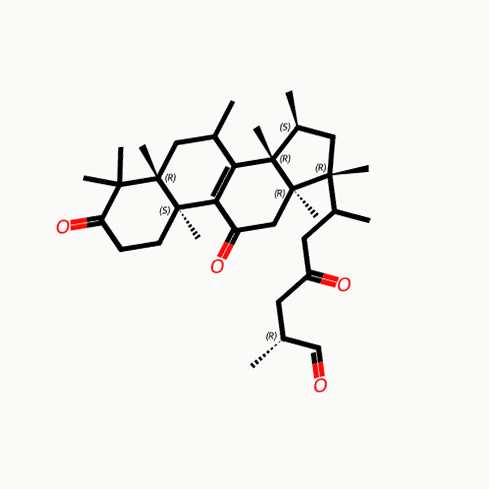 CC1C[C@@]2(C)C(C)(C)C(=O)CC[C@]2(C)C2=C1[C@]1(C)[C@@H](C)C[C@](C)(C(C)CC(=O)C[C@@H](C)C=O)[C@@]1(C)CC2=O